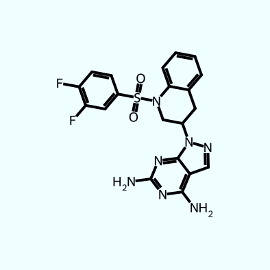 Nc1nc(N)c2cnn(C3Cc4ccccc4N(S(=O)(=O)c4ccc(F)c(F)c4)C3)c2n1